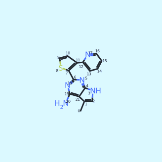 Cc1c[nH]c2nc(-c3sccc3-c3ccccn3)nc(N)c12